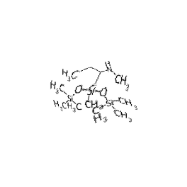 CCC(NC)[Si](C)(O[Si](C)(C)C)O[Si](C)(C)C